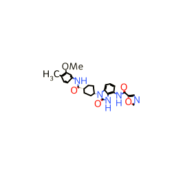 COc1cc(NC(=O)[C@H]2CC[C@@H](n3c(=O)[nH]c4c(NC(=O)c5cnco5)cccc43)CC2)ccc1C